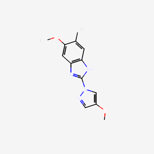 CSc1cc2[nH]c(-n3cc(OC(=O)O)cn3)nc2cc1OC(F)(F)F